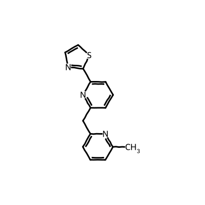 Cc1cccc(Cc2cccc(-c3nccs3)n2)n1